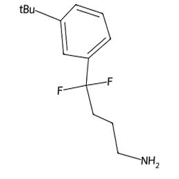 CC(C)(C)c1cccc(C(F)(F)CCCN)c1